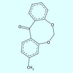 Cc1ccc2c(c1)OCOc1ccccc1C2=O